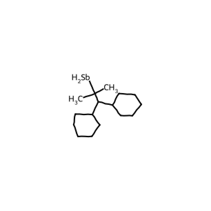 C[C](C)([SbH2])C(C1CCCCC1)C1CCCCC1